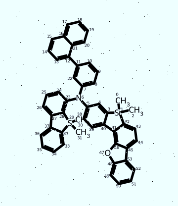 C[Si]1(C)c2cc(N(c3cccc(-c4cccc5ccccc45)c3)c3cccc4c3S(C)(C)c3ccccc3-4)ccc2-c2c1ccc1c2oc2ccccc21